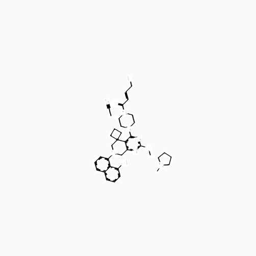 CN1CCC[C@H]1COc1nc2c(c(N3CCN(C(=O)/C=C/CF)[C@@H](CC#N)C3)n1)C1(CCC1)CN(c1cccc3cccc(Cl)c13)C2